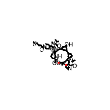 CCn1c(-c2cccnc2[C@H](C)OC)c2c3cc(ccc31)-c1cc(O)cc(c1)C[C@H](NC(=O)[C@H](C(C)C)N(C)C(=O)C1CCN(C(=O)/C=C/CN(C)C)CC1)C(=O)N1CCC[C@H](N1)C(=O)OCC(C)(C)C2